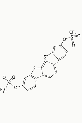 O=S(=O)(Oc1ccc2c(c1)sc1c2ccc2c3ccc(OS(=O)(=O)C(F)(F)F)cc3sc21)C(F)(F)F